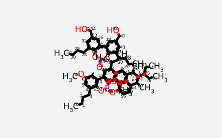 CCCCc1cc(OC)cc(-c2cc(OC)cc(C(C)CC)c2Op2oc3c(CCCC)cc(CO)cc3c3cc(CO)cc(CCCC)c3o2)c1OP(Oc1ccc(C(C)CCCC)cc1)Oc1ccc(C(C)CCCC)cc1